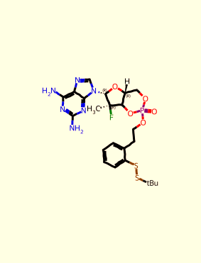 CC(C)(C)SSc1ccccc1CCOP1(=O)OC[C@H]2O[C@@H](n3cnc4c(N)nc(N)nc43)[C@](C)(F)C2O1